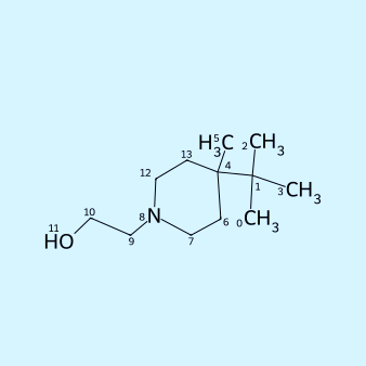 CC(C)(C)C1(C)CCN(CCO)CC1